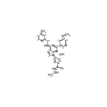 CNNC(=O)[C@@H]1C[C@@H](O)[C@H](n2cnc3c(NCc4cc(C)ccn4)nc(-c4cncc(OC)c4)nc32)O1